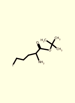 CC(C)(C)OC(=O)C(N)CCCI